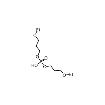 CCOCCCOP(=O)(O)OCCCOCC